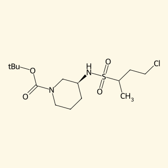 CC(CCCl)S(=O)(=O)N[C@H]1CCCN(C(=O)OC(C)(C)C)C1